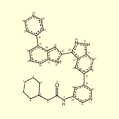 O=C(CC1CCCCC1)Nc1cncc(-c2cnc3[nH]nc(-c4cc5c(-c6ccncc6)cccc5[nH]4)c3c2)c1